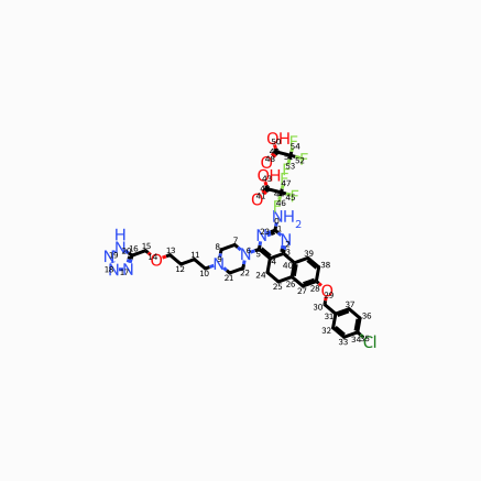 Nc1nc2c(c(N3CCN(CCCCOCc4nnn[nH]4)CC3)n1)CCc1cc(OCc3ccc(Cl)cc3)ccc1-2.O=C(O)C(F)(F)F.O=C(O)C(F)(F)F